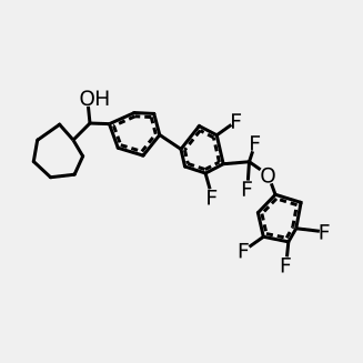 OC(c1ccc(-c2cc(F)c(C(F)(F)Oc3cc(F)c(F)c(F)c3)c(F)c2)cc1)C1CCCCCC1